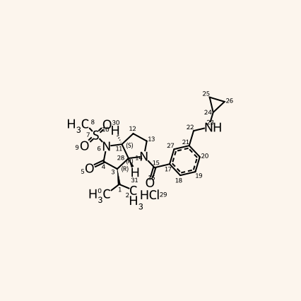 CC(C)[C@H]1C(=O)N(S(C)(=O)=O)[C@H]2CCN(C(=O)c3cccc(CNC4CC4)c3)[C@H]12.Cl